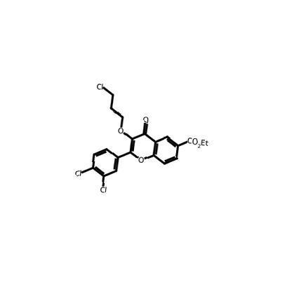 CCOC(=O)c1ccc2oc(-c3ccc(Cl)c(Cl)c3)c(OCCCCl)c(=O)c2c1